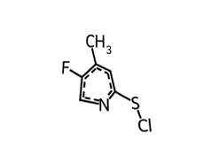 Cc1cc(SCl)ncc1F